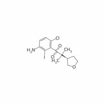 CC(C)([C@H]1CCOC1)S(=O)(=O)c1c(Cl)ccc(N)c1I